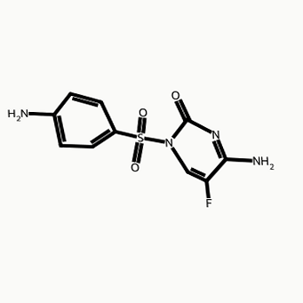 Nc1ccc(S(=O)(=O)n2cc(F)c(N)nc2=O)cc1